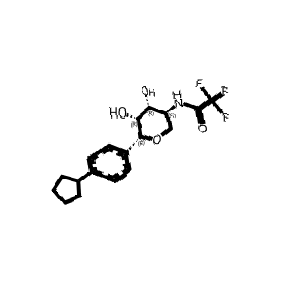 O=C(N[C@H]1CO[C@H](c2ccc(C3CCCC3)cc2)[C@H](O)[C@@H]1O)C(F)(F)F